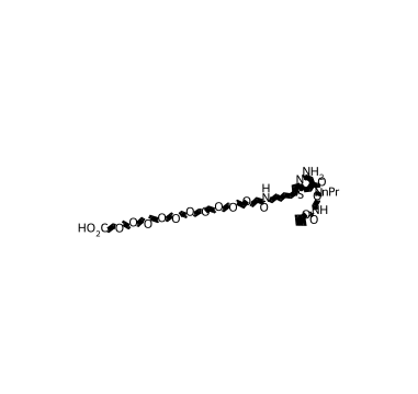 CCCN(OCCNC(=O)OC1CCC1)C(=O)C1=Cc2sc(CCCCCNC(=O)CCOCCOCCOCCOCCOCCOCCOCCOCCOCCOCCC(=O)O)cc2N=C(N)C1